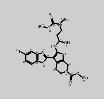 CCC(C)N(CCC(O)Nc1sc2c(c1-c1nc3cc(F)ccc3s1)CCN(C(=O)OC(C)(C)C)C2)C(=O)OC(C)(C)C